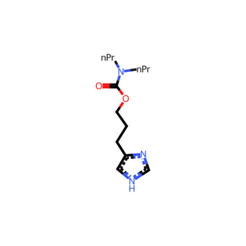 CCCN(CCC)C(=O)OCCCc1c[nH]cn1